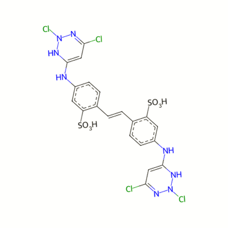 O=S(=O)(O)c1cc(NC2=CC(Cl)=NN(Cl)N2)ccc1C=Cc1ccc(NC2=CC(Cl)=NN(Cl)N2)cc1S(=O)(=O)O